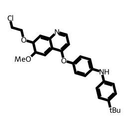 COC1C=c2c(Oc3ccc(Nc4ccc(C(C)(C)C)cc4)cc3)ccnc2=CC1OCCCl